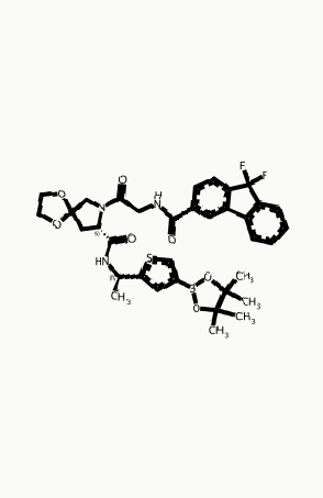 C[C@@H](NC(=O)[C@@H]1CC2(CN1C(=O)CNC(=O)c1ccc3c(c1)-c1ccccc1C3(F)F)OCCO2)c1cc(B2OC(C)(C)C(C)(C)O2)cs1